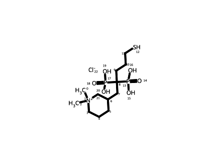 C[N+]1(C)CCCC(CC(CCCS)(P(=O)(O)O)P(=O)(O)O)C1.[Cl-]